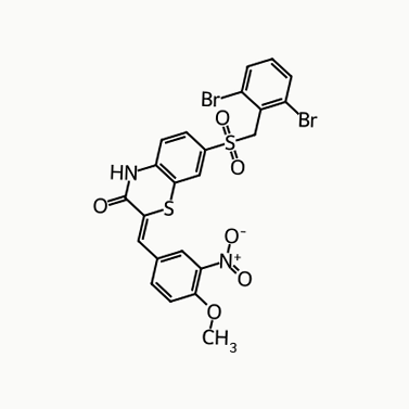 COc1ccc(C=C2Sc3cc(S(=O)(=O)Cc4c(Br)cccc4Br)ccc3NC2=O)cc1[N+](=O)[O-]